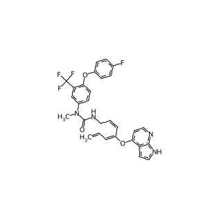 C=C/C=C(\C=C/CNC(=O)N(C)c1ccc(Oc2ccc(F)cc2)c(C(F)(F)F)c1)Oc1ccnc2[nH]ccc12